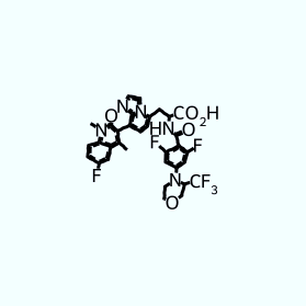 Cc1c(-c2ccc(CC(NC(=O)c3c(F)cc(N4CCOCC4C(F)(F)F)cc3F)C(=O)O)n3ccnc23)c(=O)n(C)c2ccc(F)cc12